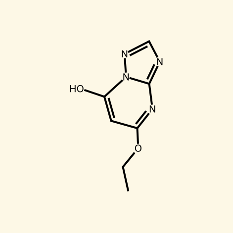 CCOc1cc(O)n2ncnc2n1